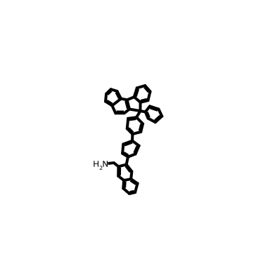 NCc1cc2ccccc2cc1-c1ccc(-c2ccc(C3(c4ccccc4)c4ccccc4-c4c3ccc3ccccc43)cc2)cc1